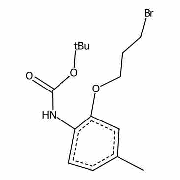 Cc1ccc(NC(=O)OC(C)(C)C)c(OCCCBr)c1